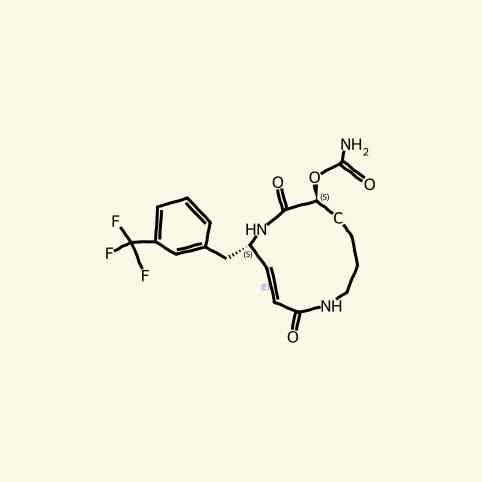 NC(=O)O[C@H]1CCCCNC(=O)/C=C/[C@H](Cc2cccc(C(F)(F)F)c2)NC1=O